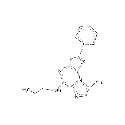 CCCNc1nc2cc(-c3ccccc3)sc2n2c(C)cnc12